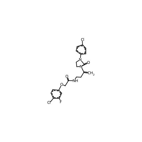 C=C(CCNC(=O)COc1ccc(Cl)c(F)c1)N1CCN(c2ccc(Cl)cc2)C1=O